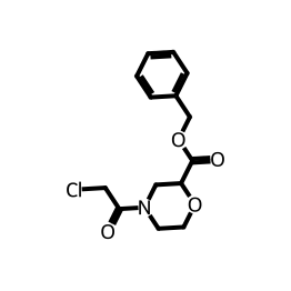 O=C(OCc1ccccc1)C1CN(C(=O)CCl)CCO1